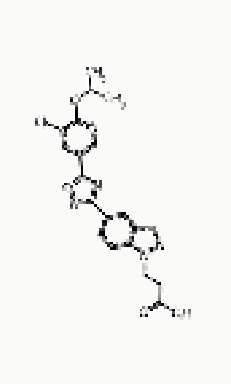 CC(C)Oc1ncc(-c2nc(-c3ccc4c(cnn4CCC(=O)O)c3)no2)cc1Cl